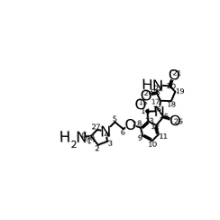 N[C@@H]1CCN(CCOc2cccc3c2C(=O)N(C2CCC(=O)NC2=O)C3=O)C1